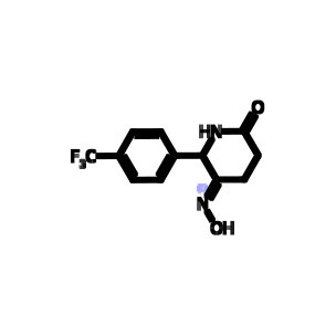 O=C1CC/C(=N\O)C(c2ccc(C(F)(F)F)cc2)N1